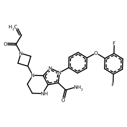 C=CC(=O)N1CC(N2CCNc3c2nn(-c2ccc(Oc4cc(F)ccc4F)cc2)c3C(N)=O)C1